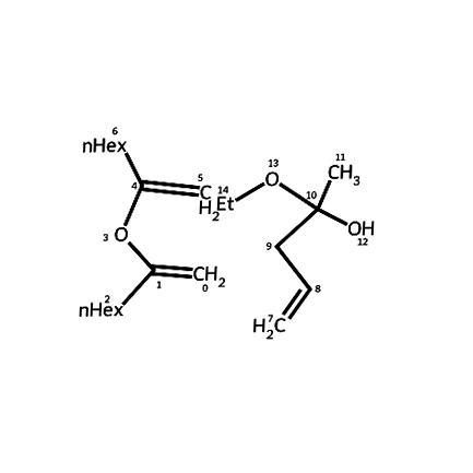 C=C(CCCCCC)OC(=C)CCCCCC.C=CCC(C)(O)OCC